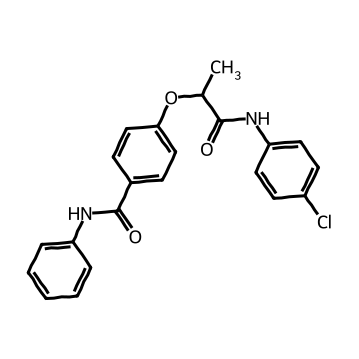 CC(Oc1ccc(C(=O)Nc2ccccc2)cc1)C(=O)Nc1ccc(Cl)cc1